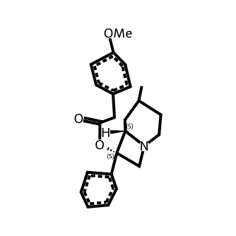 COc1ccc(CC(=O)O[C@@]2(c3ccccc3)CN3CCC(C)C[C@H]32)cc1